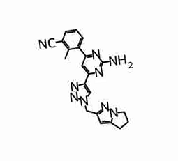 Cc1c(C#N)cccc1-c1cc(-c2cn(Cc3cc4n(n3)CCC4)nn2)nc(N)n1